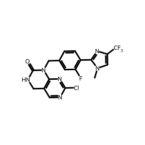 Cn1cc(C(F)(F)F)nc1-c1ccc(CN2C(=O)NCc3cnc(Cl)nc32)cc1F